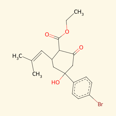 CCOC(=O)C1C(=O)CC(O)(c2ccc(Br)cc2)CC1C=C(C)C